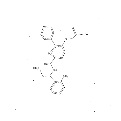 Cc1ccccc1[C@H](CC(=O)O)NC(=O)c1ccc(OCC(=O)C(C)(C)C)c(-c2ccccc2)n1